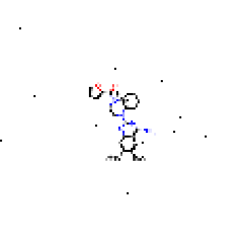 COc1cc2nc(N3CCN(C(=O)c4ccco4)[C@@H]4CCCC=C43)nc(N)c2cc1OC